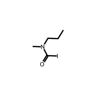 CCCN(C)C(=O)I